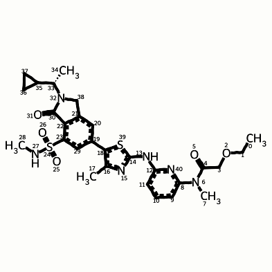 CCOCC(=O)N(C)c1cccc(Nc2nc(C)c(-c3cc4c(c(S(=O)(=O)NC)c3)C(=O)N([C@@H](C)C3CC3)C4)s2)n1